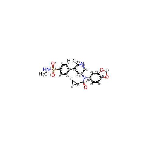 CNS(=O)(=O)c1ccc(-c2cc(N(C(=O)C3CC3)c3ccc4c(c3)OCO4)cnc2C)cc1